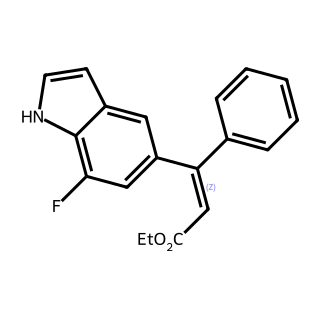 CCOC(=O)/C=C(/c1ccccc1)c1cc(F)c2[nH]ccc2c1